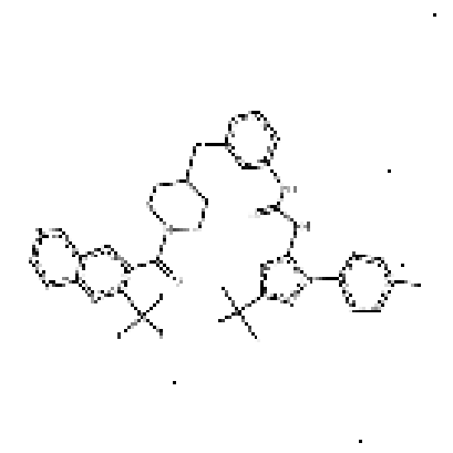 Cc1ccc(-n2nc(C(C)(C)C)cc2NC(=O)Nc2cccc(CC3CCN(C(=O)c4cc5cnccc5nc4C(F)(F)F)CC3)c2)cc1